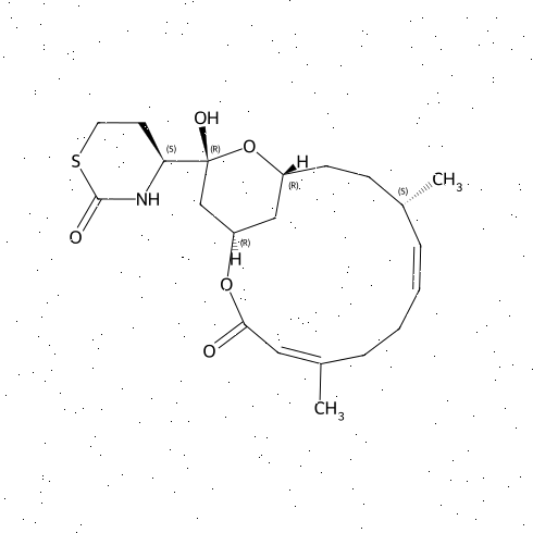 CC1=CC(=O)O[C@@H]2C[C@@H](CC[C@H](C)C=CCC1)O[C@@](O)([C@@H]1CCSC(=O)N1)C2